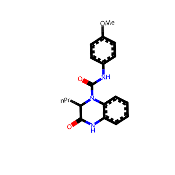 CCCC1C(=O)Nc2ccccc2N1C(=O)Nc1ccc(OC)cc1